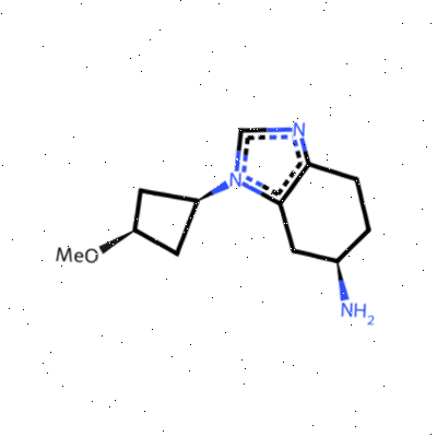 CO[C@H]1C[C@@H](n2cnc3c2C[C@H](N)CC3)C1